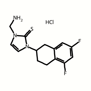 Cl.NCn1ccn(C2CCc3c(F)cc(F)cc3C2)c1=S